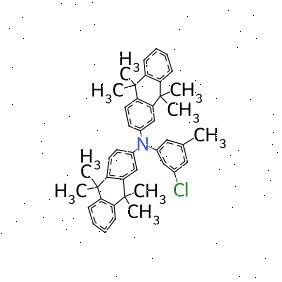 Cc1cc(Cl)cc(N(c2ccc3c(c2)C(C)(C)c2ccccc2C3(C)C)c2ccc3c(c2)C(C)(C)c2ccccc2C3(C)C)c1